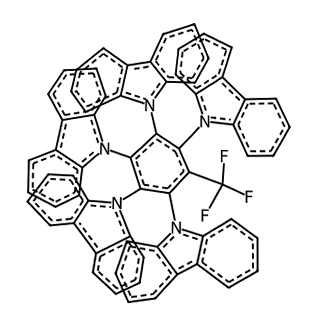 FC(F)(F)c1c(-n2c3ccccc3c3ccccc32)c(-n2c3ccccc3c3ccccc32)c(-n2c3ccccc3c3ccccc32)c(-n2c3ccccc3c3ccccc32)c1-n1c2ccccc2c2ccccc21